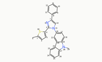 Cc1ccc(-c2nc(-c3ccccc3)cn2-c2ccc3c(c2)c2ccccc2n3C)s1